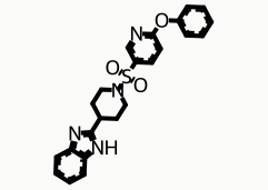 O=S(=O)(c1ccc(Oc2ccccc2)nc1)N1CCC(c2nc3ccccc3[nH]2)CC1